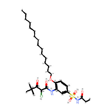 CCCCCCCCCCCCCCCCOc1ccc(S(=O)(=O)NC(=O)CC)cc1NC(=O)C(Cl)C(=O)C(C)(C)C